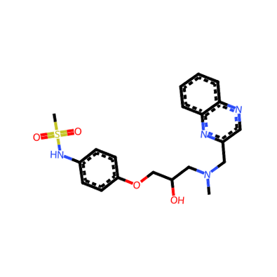 CN(Cc1cnc2ccccc2n1)CC(O)COc1ccc(NS(C)(=O)=O)cc1